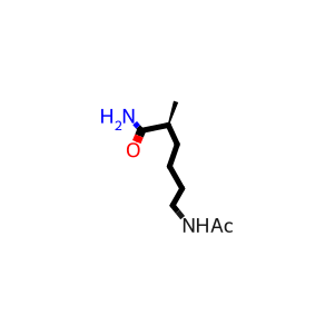 CC(=O)NCCCC[C@H](C)C(N)=O